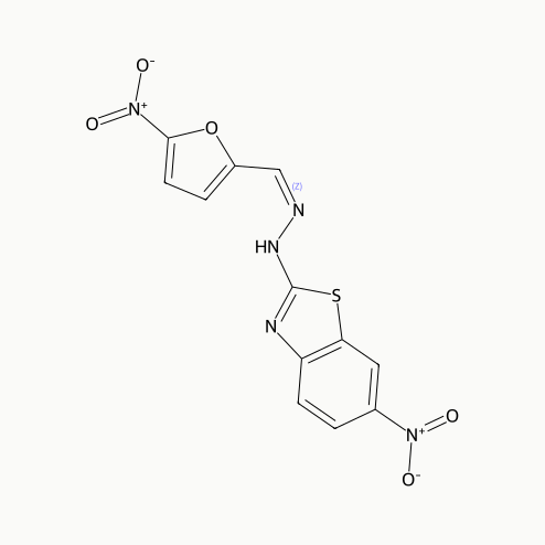 O=[N+]([O-])c1ccc2nc(N/N=C\c3ccc([N+](=O)[O-])o3)sc2c1